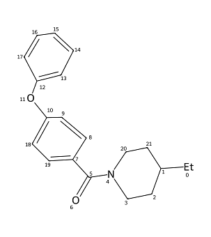 CCC1CCN(C(=O)c2ccc(Oc3ccccc3)cc2)CC1